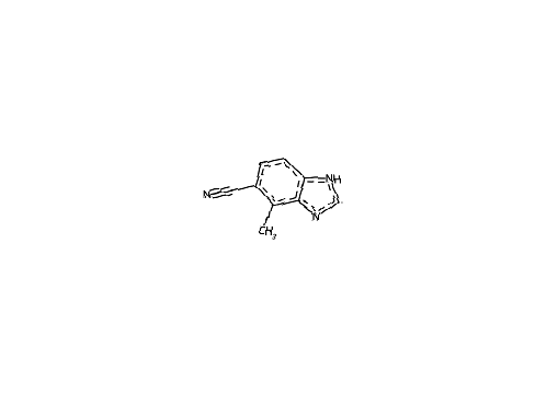 Cc1c(C#N)ccc2[nH][c]nc12